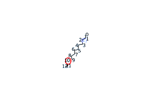 C/C=C/CCCCCCCOCC